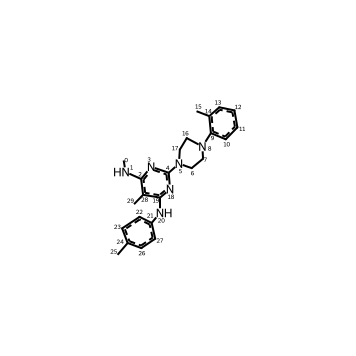 CNc1nc(N2CCN(c3ccccc3C)CC2)nc(Nc2ccc(C)cc2)c1C